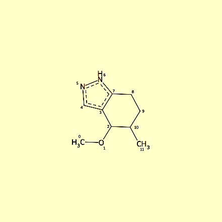 COC1c2cn[nH]c2CCC1C